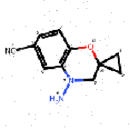 N#Cc1ccc2c(c1)N(N)CC1(CC1)O2